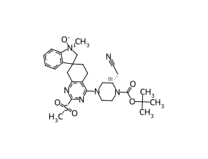 CC(C)(C)OC(=O)N1CCN(c2nc(S(C)(=O)=O)nc3c2CCC2(C3)C[N+](C)([O-])c3ccccc32)C[C@@H]1CC#N